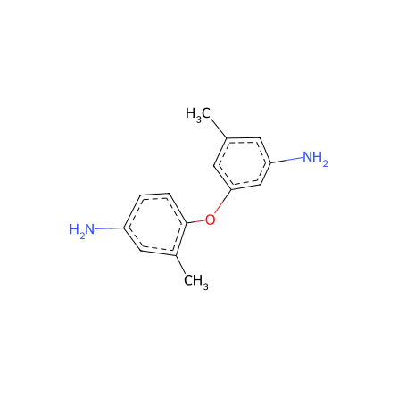 Cc1cc(N)cc(Oc2ccc(N)cc2C)c1